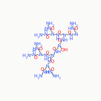 CN(CCNC(=O)CCN(CCNC(=O)CCN(CCO)CCC(=O)NCCN(CCC(=O)NCCN(CCC(=O)NCCN)CCC(=O)NCCN)CCC(=O)NCCN(CCC(=O)NCCN)CCC(=O)NCCN)CCC(=O)NCCN(CCC(=O)NCCN)CCC(=O)NCCN)CCC(=O)NCCN